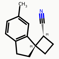 Cc1ccc2c(c1)[C@@]1(CC2)CC[C@H]1C#N